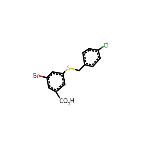 O=C(O)c1cc(Br)cc(SCc2ccc(Cl)cc2)c1